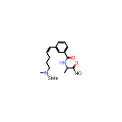 CSN(C)CCC/C=C\c1cccc(C(=O)NC(C)C(=O)N=O)c1